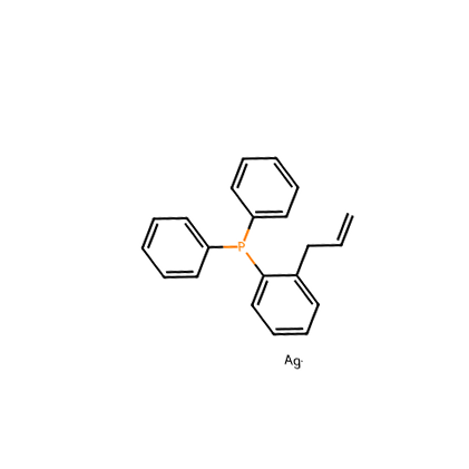 C=CCc1ccccc1P(c1ccccc1)c1ccccc1.[Ag]